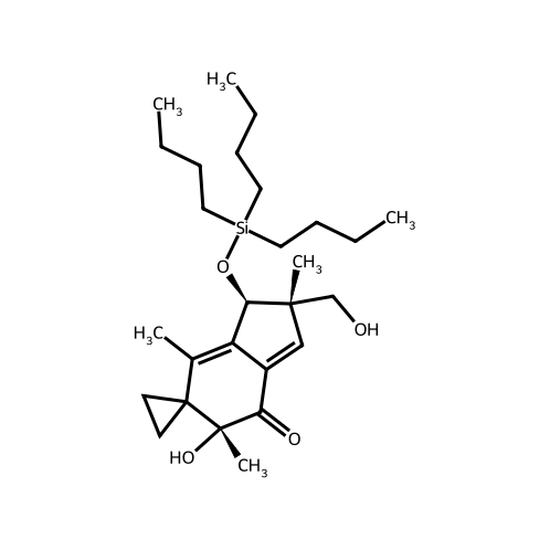 CCCC[Si](CCCC)(CCCC)O[C@@H]1C2=C(C)C3(CC3)[C@@](C)(O)C(=O)C2=C[C@@]1(C)CO